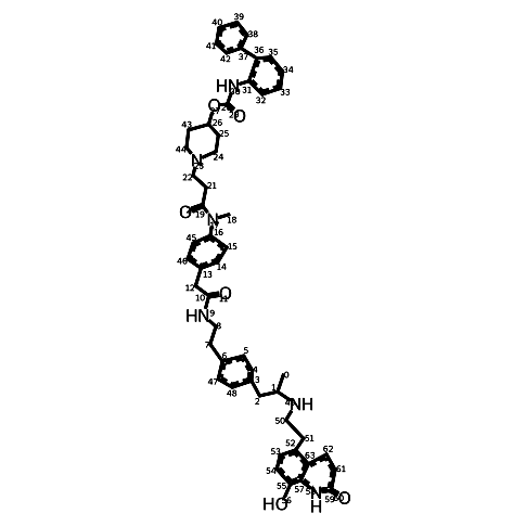 CC(Cc1ccc(CCNC(=O)Cc2ccc(N(C)C(=O)CCN3CCC(OC(=O)Nc4ccccc4-c4ccccc4)CC3)cc2)cc1)NCCc1ccc(O)c2[nH]c(=O)ccc12